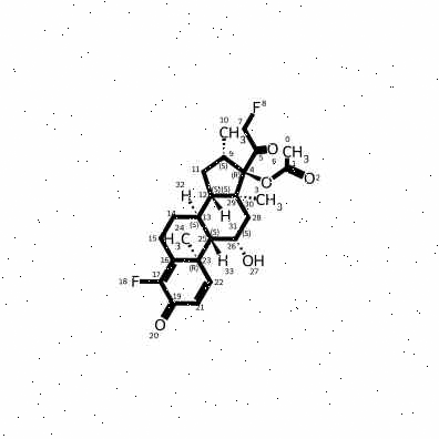 CC(=O)O[C@]1(C(=O)CF)[C@@H](C)C[C@H]2[C@@H]3CCC4=C(F)C(=O)C=C[C@]4(C)[C@H]3[C@@H](O)C[C@@]21C